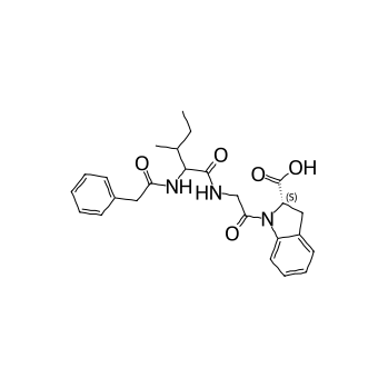 CCC(C)C(NC(=O)Cc1ccccc1)C(=O)NCC(=O)N1c2ccccc2C[C@H]1C(=O)O